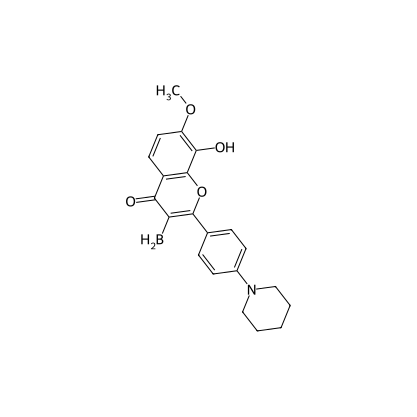 Bc1c(-c2ccc(N3CCCCC3)cc2)oc2c(O)c(OC)ccc2c1=O